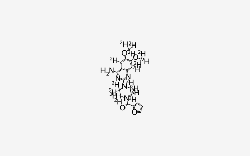 [2H]c1c(OC([2H])([2H])[2H])c(OC([2H])([2H])[2H])c([2H])c2c(N)nc(N3C([2H])([2H])C([2H])([2H])N(C(=O)c4ccco4)C([2H])([2H])C3([2H])[2H])nc12